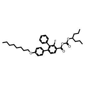 CCCCCCCCOc1ccc(-c2ccc(C(=O)OC(=O)OC(CCC)CCC)c(F)c2-c2ccccc2)cc1